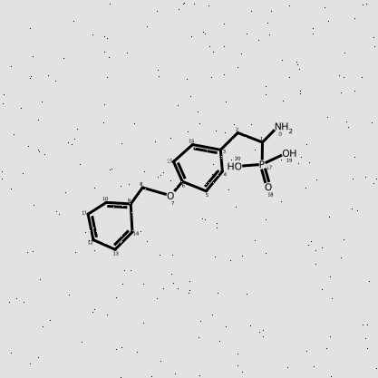 NC(Cc1ccc(OCc2ccccc2)cc1)P(=O)(O)O